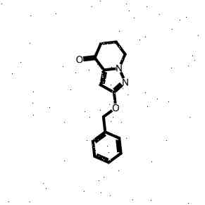 O=C1CCCn2nc(OCc3ccccc3)cc21